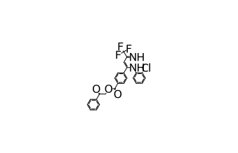 N=C(/C=C(\Nc1ccccc1Cl)c1ccc(C(=O)OCC(=O)c2ccccc2)cc1)C(F)(F)F